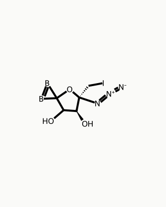 [N-]=[N+]=N[C@]1(CI)OC2(B=B2)C(O)[C@@H]1O